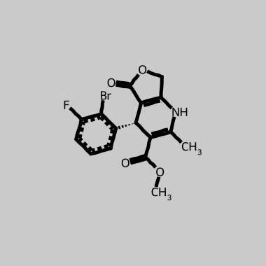 COC(=O)C1=C(C)NC2=C(C(=O)OC2)[C@H]1c1cccc(F)c1Br